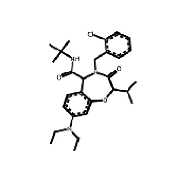 CCN(CC)c1ccc2c(c1)OC(C(C)C)C(=O)N(Cc1ccccc1Cl)C2C(=O)NC(C)(C)C